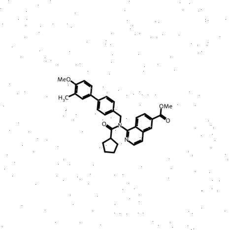 COC(=O)c1ccc2c(N(Cc3ccc(-c4ccc(OC)c(C)c4)cc3)C(=O)C3CCCC3)nccc2c1